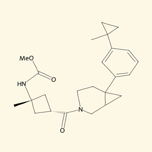 COC(=O)N[C@]1(C)C[C@H](C(=O)N2CCC3(c4cccc(C5(C)CC5)c4)CC3C2)C1